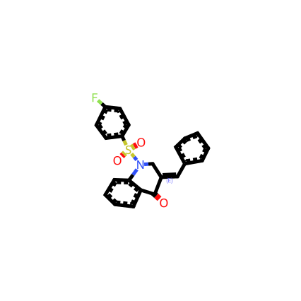 O=C1/C(=C/c2ccccc2)CN(S(=O)(=O)c2ccc(F)cc2)c2ccccc21